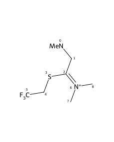 CNCC(SCC(F)(F)F)=[N+](C)C